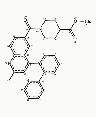 Cc1cc(-c2ccccc2-c2ccccc2)c2cc(C(=O)N3CCC(C(=O)OC(C)(C)C)CC3)ccc2n1